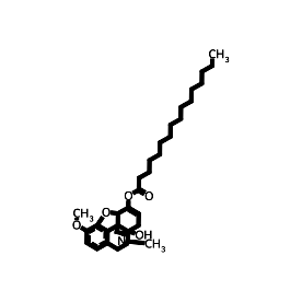 CCCCCCCCCCCCCCCC(=O)OC1=CCC2(O)C3Cc4ccc(OC)c5c4C2(CCN3C)C1O5